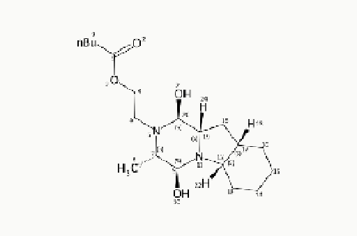 CCCCC(=O)OCCN1[C@@H](C)[C@H](O)N2[C@H]3CCCC[C@H]3C[C@H]2[C@@H]1O